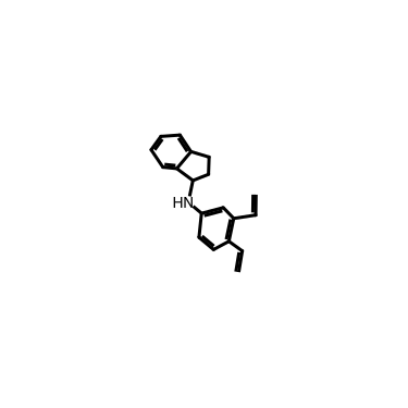 C=Cc1ccc(NC2CCc3ccccc32)cc1C=C